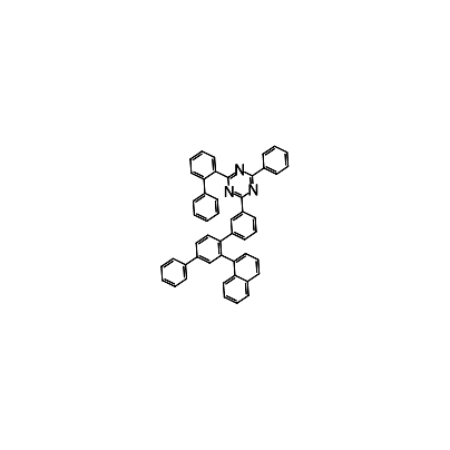 c1ccc(-c2ccc(-c3cccc(-c4nc(-c5ccccc5)nc(-c5ccccc5-c5ccccc5)n4)c3)c(-c3cccc4ccccc34)c2)cc1